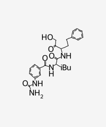 CCC(C)C(NC(=O)c1cccc(NC(N)=O)c1)C(=O)NC(CCc1ccccc1)C(=O)CO